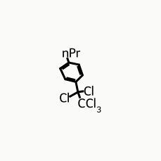 [CH2]CCc1ccc(C(Cl)(Cl)C(Cl)(Cl)Cl)cc1